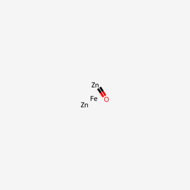 [Fe].[O]=[Zn].[Zn]